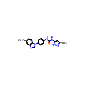 CC(C)COc1ccc2c(c1)ncn2-c1ccc(NC(=O)Nc2cc(C(C)(C)C)n[nH]2)cc1